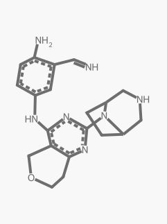 N=Cc1cc(Nc2nc(N3C4CCC3CNC4)nc3c2COCC3)ccc1N